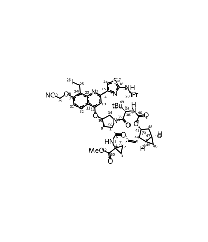 C=C[C@@H]1C[C@]1(NC(=O)[C@@H]1C[C@@H](Oc2cc(-c3csc(NC(C)C)n3)nc3c(CI)c(OCC#N)ccc23)CN1C(=O)[C@@H](NC(=O)O[C@@H]1C[C@@H]2C[C@@H]2C1)C(C)(C)C)C(=O)OC